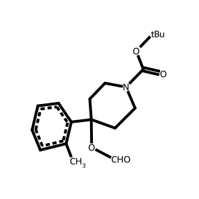 Cc1ccccc1C1(OC=O)CCN(C(=O)OC(C)(C)C)CC1